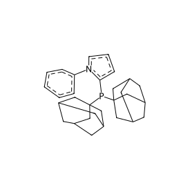 c1ccc(-n2cccc2P(C23CC4CC(CC(C4)C2)C3)C23CC4CC(CC(C4)C2)C3)cc1